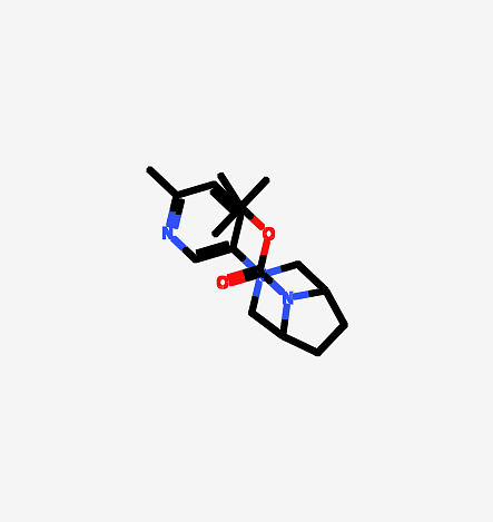 Cc1ccc(N2CC3CCC(C2)N3C(=O)OC(C)(C)C)cn1